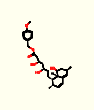 COc1ccc(COC(=O)C[C@H](O)C[C@H](O)CC[C@@H]2[C@@H]3C(=C[C@H](C)C[C@@H]3O)C=C[C@@H]2C)cc1